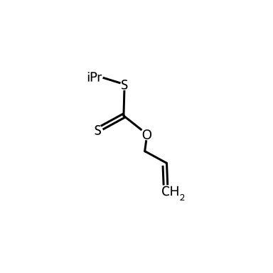 C=CCOC(=S)SC(C)C